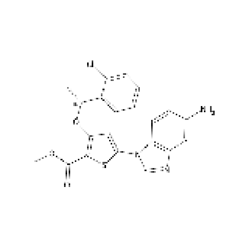 COC(=O)c1sc(-n2cnc3cc(N)ccc32)cc1O[C@H](C)c1ccccc1Cl